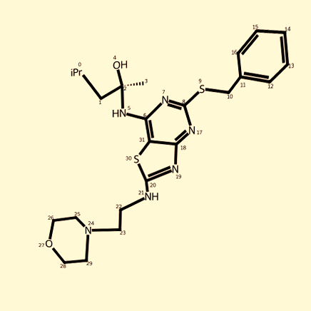 CC(C)C[C@@](C)(O)Nc1nc(SCc2ccccc2)nc2nc(NCCN3CCOCC3)sc12